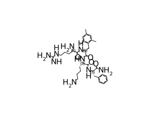 Cc1cc(C)c(C[C@H](NC(=O)[C@H](N)CCCNC(=N)N)C(=O)N[C@@H](CCCCN)C(=O)N[C@@H](Cc2ccccc2)C(N)=O)c(C)c1